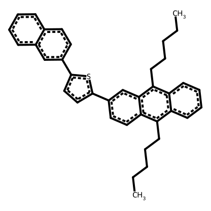 CCCCCc1c2ccccc2c(CCCCC)c2cc(-c3ccc(-c4ccc5ccccc5c4)s3)ccc12